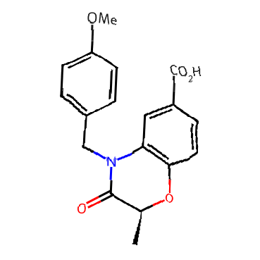 COc1ccc(CN2C(=O)[C@H](C)Oc3ccc(C(=O)O)cc32)cc1